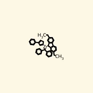 CCc1ccc2c(c1)[CH]([Zr]([C]1=CC(c3ccccc3)=CC1)=[C](c1ccccc1)c1ccccc1)c1cc(CC)ccc1-2